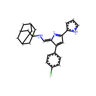 Clc1ccc(C2=CC(c3ccc[nH]3)=N/C2=C\NC23CC4CC(CC(C4)C2)C3)cc1